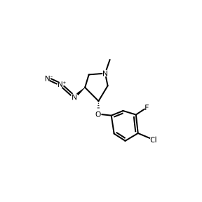 CN1C[C@H](N=[N+]=[N-])[C@@H](Oc2ccc(Cl)c(F)c2)C1